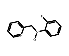 [O-][S+](Cc1ccccn1)c1ccccc1F